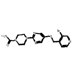 NC(=O)N1CCN(c2ncc(OCc3ccncc3Br)cn2)CC1